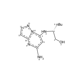 CCCC[C@H](CO)Nc1cc(N)nc2ccnn12